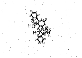 CC(C)CCN(C(O)(CCN(Cc1ccccc1)C(=O)O)Cc1ccccc1)S(=O)(=O)N(C)C